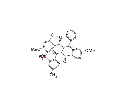 COc1ccc(C(=O)C(C(=O)c2ccc(C)cc2C)C(C(=O)c2ccccc2)C(=O)c2cc(C(C)(C)C)c(OC)cc2C)cc1